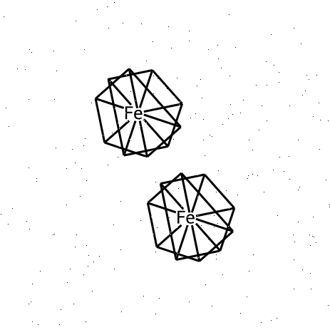 [CH]12[CH]3[CH]4[CH]5[CH]1[Fe]23451678[CH]2[CH]1[CH]6[CH]7[CH]28.[CH]12[CH]3[CH]4[CH]5[CH]1[Fe]23451678[CH]2[CH]1[CH]6[CH]7[CH]28